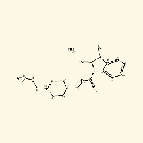 CC(C)n1c(=O)n(C(=O)NCC2CCN(CCC(=O)O)CC2)c2ccccc21.Cl